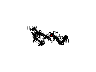 Cc1c(-c2ccc(N3CCc4cccc(C(=O)Nc5nc6ccccc6s5)c4C3)nc2C(=O)O)cnn1CC12CC3(C)CC(C)(C1)CC(OCCN(CCS(=O)(=O)O)C(=O)OCc1ccc(NC(=O)[C@H](CCCNC(N)=O)NC(=O)[C@@H](NC(=O)[C@H](CCCC(=O)O)NC(=O)CCCCCN4C(=O)C=CC4=O)C(C)C)cc1)(C3)C2